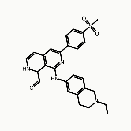 CCN1CCc2cc(Nc3nc(-c4ccc(S(C)(=O)=O)cc4)cc4c3C(C=O)NC=C4)ccc2C1